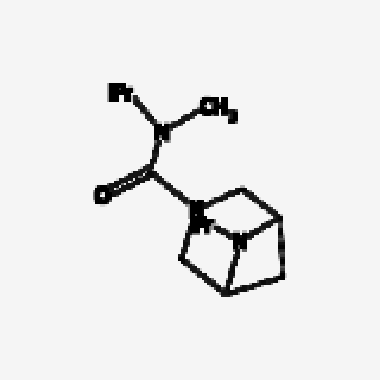 CC(C)N(C)C(=O)N1CC2CC(C1)N2C(C)C